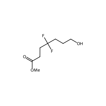 COC(=O)CCC(F)(F)CCCO